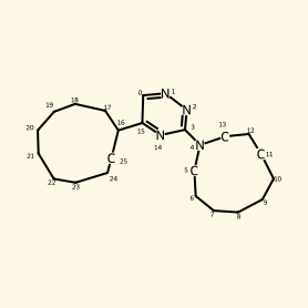 c1nnc(N2CCCCCCCCC2)nc1C1CCCCCCCCC1